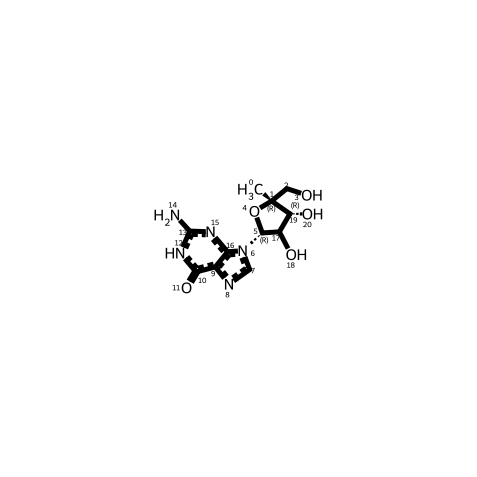 C[C@]1(CO)O[C@@H](n2cnc3c(=O)[nH]c(N)nc32)C(O)[C@H]1O